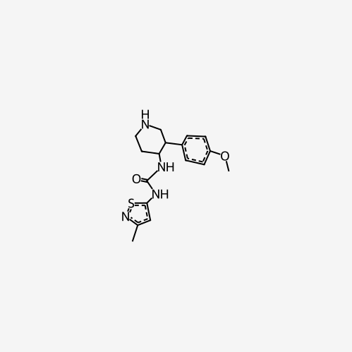 COc1ccc(C2CNCCC2NC(=O)Nc2cc(C)ns2)cc1